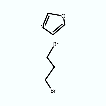 BrCCCBr.c1cocn1